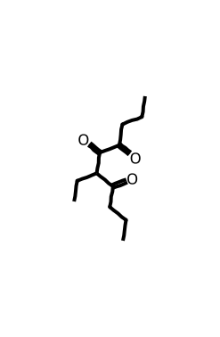 CCCC(=O)C(=O)C(CC)C(=O)CCC